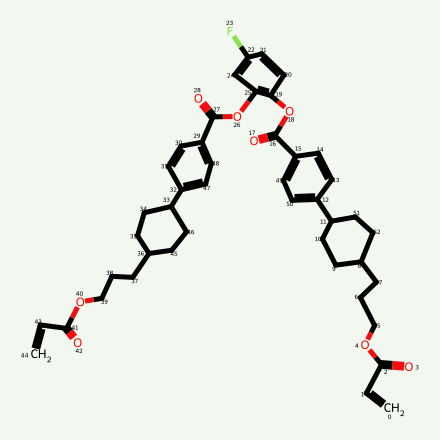 C=CC(=O)OCCCC1CCC(c2ccc(C(=O)Oc3ccc(F)cc3OC(=O)c3ccc(C4CCC(CCCOC(=O)C=C)CC4)cc3)cc2)CC1